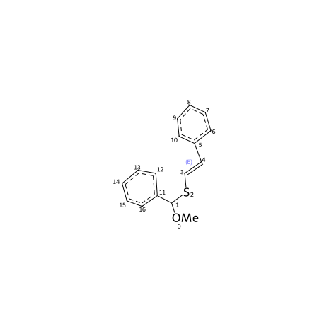 COC(S/C=C/c1ccccc1)c1ccccc1